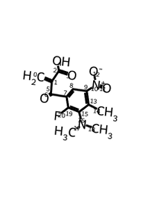 C=C(C(=O)O)C(=O)c1cc([N+](=O)[O-])c(C)c(N(C)C)c1F